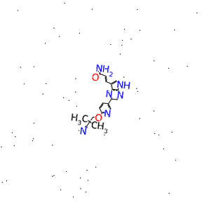 CC(C)(C#N)COc1ccc(-c2cnc3[nH]cc(/C=C/C(N)=O)c3n2)cn1